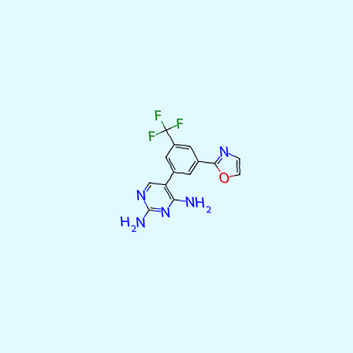 Nc1ncc(-c2cc(-c3ncco3)cc(C(F)(F)F)c2)c(N)n1